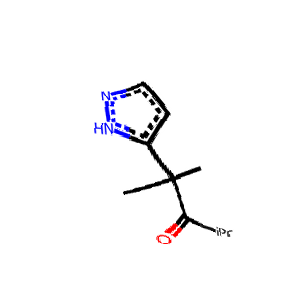 CC(C)C(=O)C(C)(C)c1ccn[nH]1